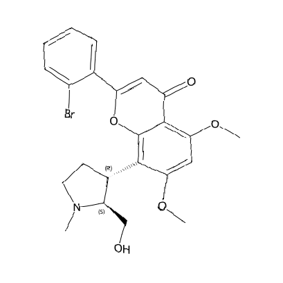 COc1cc(OC)c2c(=O)cc(-c3ccccc3Br)oc2c1[C@H]1CCN(C)[C@@H]1CO